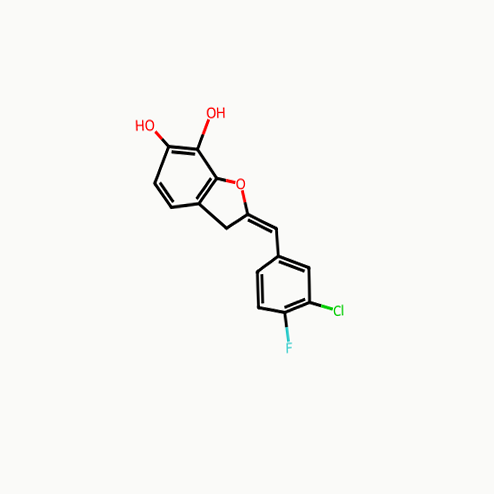 Oc1ccc2c(c1O)OC(=Cc1ccc(F)c(Cl)c1)C2